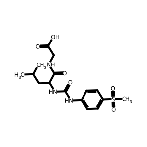 CC(C)CC(NC(=O)Nc1ccc(S(C)(=O)=O)cc1)C(=O)NCC(=O)O